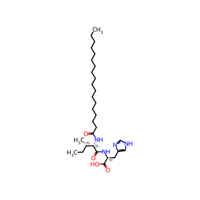 CCCCCCCCCCCCCCCCCC(=O)N[C@H](C(=O)N[C@@H](Cc1c[nH]cn1)C(=O)O)[C@@H](C)CC